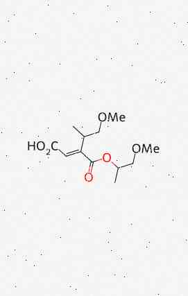 COCC(C)OC(=O)C(=CC(=O)O)C(C)COC